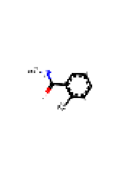 CC[C@@H](C)NC(=O)c1ccccc1C(F)(F)F